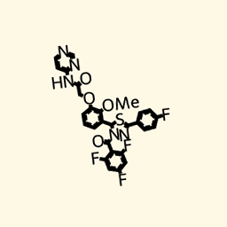 COc1c(OCC(=O)Nc2ccncn2)cccc1C1SC(c2ccc(F)cc2)=NN1C(=O)c1c(F)cc(F)cc1F